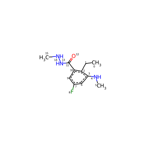 CCc1c(NC)cc(F)cc1C(=O)NNC